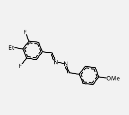 CCc1c(F)cc(C=NN=Cc2ccc(OC)cc2)cc1F